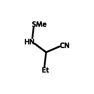 CCC(C#N)NSC